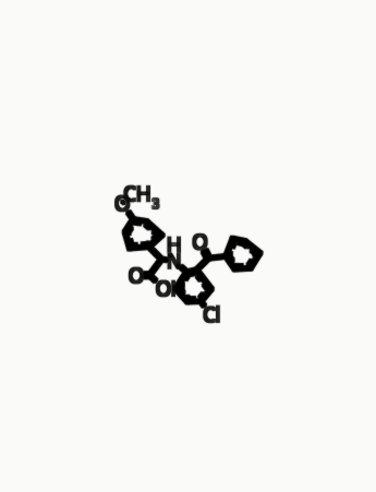 COc1ccc(C(Nc2ccc(Cl)cc2C(=O)c2ccccc2)C(=O)O)cc1